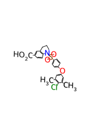 Cc1cc(Oc2ccc(S(=O)(=O)N3CCCc4cc(C(=O)O)ccc43)cc2)cc(C)c1Cl